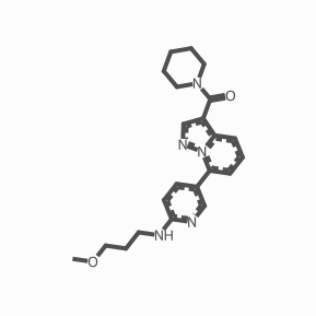 COCCCNc1ccc(-c2cccc3c(C(=O)N4CCCCC4)cnn23)cn1